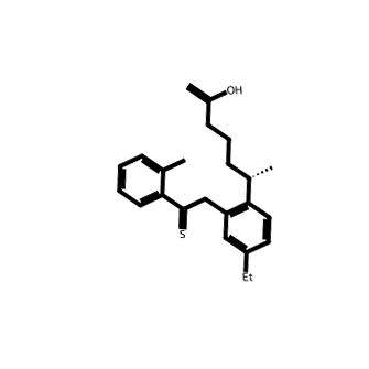 C=C(O)CCC[C@H](C)c1ccc(CC)cc1CC(=S)c1ccccc1C